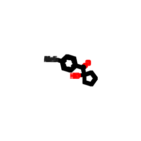 CSc1ccc(C(=O)C2(O)CCCC2)cc1